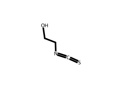 OCCN=C=S